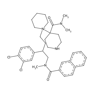 CN(C)C(=O)C1([N+]2(CCC(CN(C)C(=O)c3ccc4ccccc4c3)c3ccc(Cl)c(Cl)c3)CCCCC2)CCNCC1